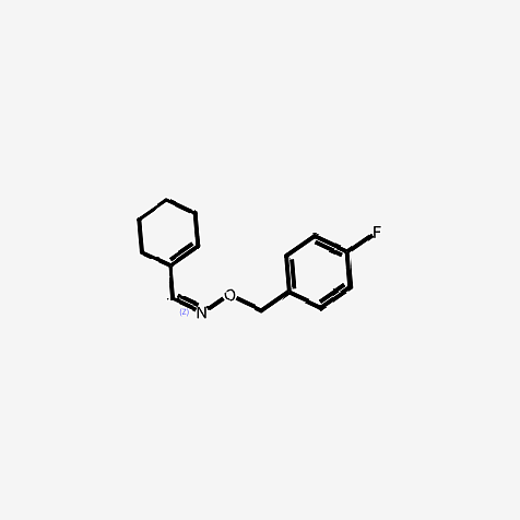 Fc1ccc(CO/N=[C]\C2=CCCCC2)cc1